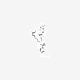 COc1ccc(C2(C(=O)N(CCCc3cc(C)c(C)s3)Cc3nc(C(=O)NS(=O)(=O)N(C)C)c(C)s3)CC2)nc1